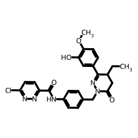 CCC1CC(=O)N(Cc2ccc(NC(=O)c3ccc(Cl)nn3)cc2)N=C1c1ccc(OC)c(O)c1